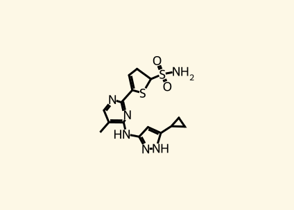 Cc1cnc(C2=CCC(S(N)(=O)=O)S2)nc1Nc1cc(C2CC2)[nH]n1